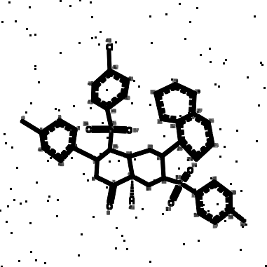 Cc1ccc(C2CC(=O)[C@@H]3CC(S(=O)(=O)c4ccc(C)cc4)C(c4cccc5ccccc45)CC3C2S(=O)(=O)c2ccc(Cl)cc2)cc1